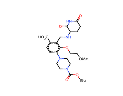 COCCOc1c(N2CCN(C(=O)OC(C)(C)C)CC2)ccc(C(=O)O)c1CNC1CCC(=O)NC1=O